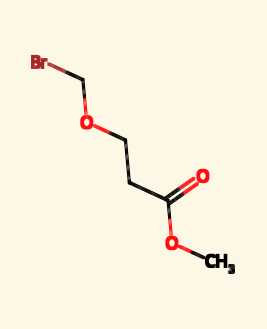 COC(=O)CCOCBr